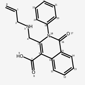 C=CCNCc1c(C(=O)O)c2ccccc2c(=O)n1-c1ccccc1